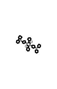 c1ccc(N(c2ccccc2)c2ccc(B3c4oc5ccccc5c4B(c4ccc(-n5c6ccccc6c6ccccc65)cc4)c4oc5ccccc5c43)cc2)cc1